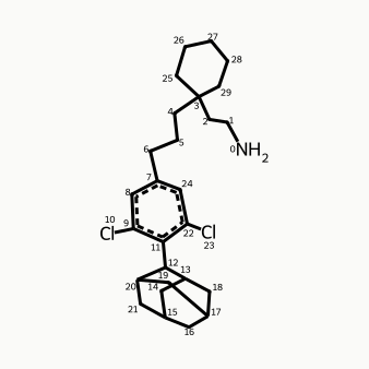 NCCC1(CCCc2cc(Cl)c(C3C4CC5CC(C4)CC3C5)c(Cl)c2)CCCCC1